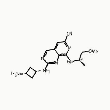 COC[C@@H](C)Nc1nc(C#N)cc2cnc(N[C@H]3C[C@H](N)C3)nc12